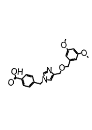 COc1cc(COCc2cn(Cc3ccc(C(=O)O)cc3)cn2)cc(OC)c1